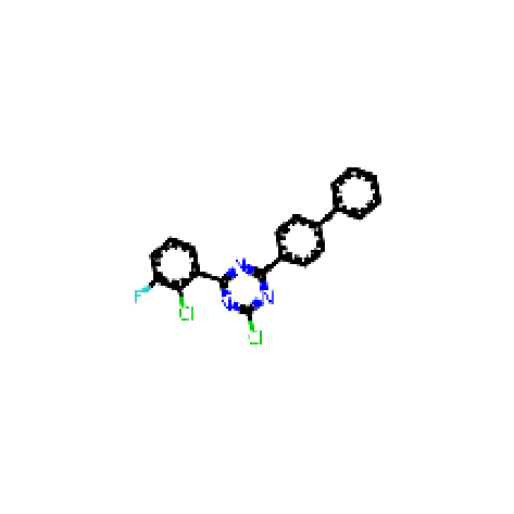 Fc1cccc(-c2nc(Cl)nc(-c3ccc(-c4ccccc4)cc3)n2)c1Cl